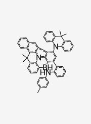 Cc1ccc(Nc2ccccc2-c2cc(N3c4ccccc4C(C)(C)c4ccccc43)c3c4cc5ccccc5c5c4n4c3c2Bc2cccc(c2-4)C5(C)C)cc1